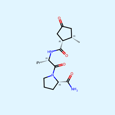 CC(C)[C@H](NC(=O)[C@@H]1CC(=O)C[C@@H]1C)C(=O)N1CCC[C@H]1C(N)=O